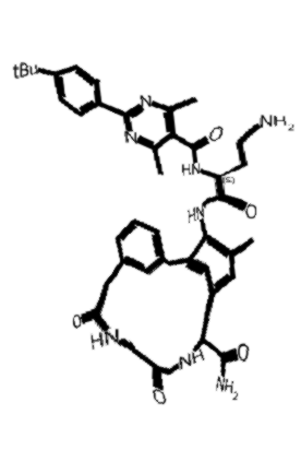 Cc1cc2cc(c1NC(=O)[C@H](CCN)NC(=O)c1c(C)nc(-c3ccc(C(C)(C)C)cc3)nc1C)-c1cccc(c1)CC(=O)NCC(=O)NC(C(N)=O)C2